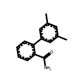 Cc1cc(C)cc(-c2ccccc2C(N)=O)c1